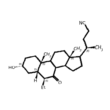 CC[C@@H]1C(=O)C2C3CCC([C@H](C)CCC#N)[C@@]3(C)CCC2[C@@]2(C)CC[C@@H](O)C[C@@H]12